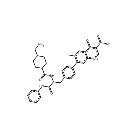 Cc1cc2c(=O)c(C(=O)O)c[nH]c2cc1-c1ccc(C[C@H](NC(=O)C2CCC(CN)CC2)C(=O)Nc2ccccc2)cc1